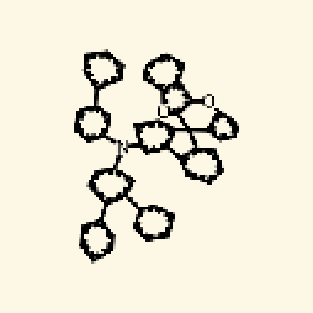 c1ccc(-c2cccc(N(c3ccc(-c4ccccc4)c(-c4ccccc4)c3)c3ccc4c(c3)-c3ccccc3C43c4ccccc4Oc4c3oc3ccccc43)c2)cc1